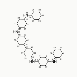 C1CCC(NC2CCC(NC3CCC(C4CCC(NC5CCC(NC6CCCCC6)CC5)CC4)CC3)CC2)CC1